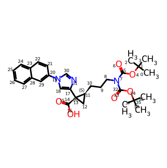 CC(C)(C)OC(=O)N(CCC[C@H]1C[C@]1(C(=O)O)c1cn(-c2ccc3ccccc3c2)cn1)C(=O)OC(C)(C)C